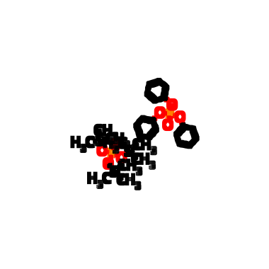 C[Si](C)(C)OP(=O)(O[Si](C)(C)C)O[Si](C)(C)C.O=P(Oc1ccccc1)(Oc1ccccc1)Oc1ccccc1